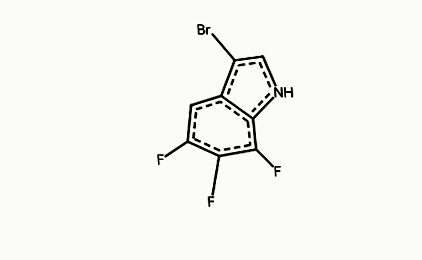 Fc1cc2c(Br)c[nH]c2c(F)c1F